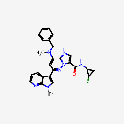 CC(C)n1cc(C2=NN3C(C(=O)NC4CC4F)=CNC3C(N(C)Cc3ccccc3)=C2)c2cccnc21